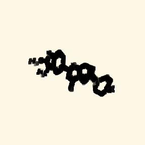 Cc1nc2ccc(-c3cc(=O)n4cc(N5CCNCC5)ccc4n3)cn2c1C